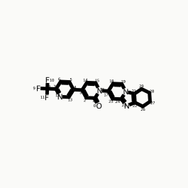 O=c1cc(-c2ccc(C(F)(F)F)nc2)ccn1-c1ccn2c3c(nc2c1)CCCC3